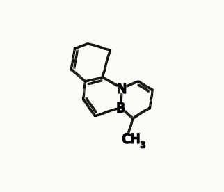 CC1CC=CN2B1C=CC1=C2CCC=C1